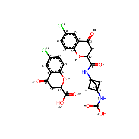 O=C(O)NC12CC(NC(=O)C3CC(=O)c4cc(Cl)ccc4O3)(C1)C2.O=C1CC(C(=O)O)Oc2ccc(Cl)cc21